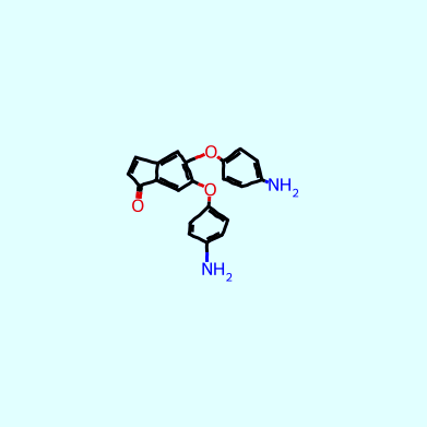 Nc1ccc(Oc2cc3c(cc2Oc2ccc(N)cc2)C(=O)C=C3)cc1